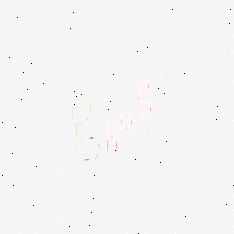 CCOC(=O)CC(=O)C[C@](O)(c1ccccc1)C(F)(F)F